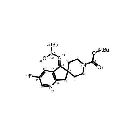 CC(C)(C)OC(=O)N1CCC2(CC1)Cc1ncc(F)cc1C2=N[S+]([O-])C(C)(C)C